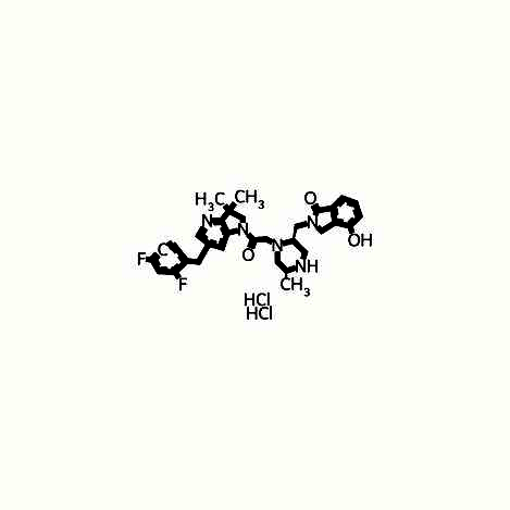 C[C@@H]1CN(CC(=O)N2CC(C)(C)c3ncc(Cc4ccc(F)cc4F)cc32)[C@@H](CN2Cc3c(O)cccc3C2=O)CN1.Cl.Cl